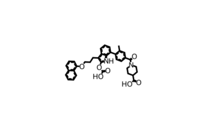 Cc1cc(C(=O)N2CCC(C(=O)O)CC2)ccc1-c1cccc2c(CCCOc3cccc4ccccc34)c(OC(=O)O)[nH]c12